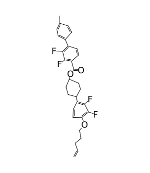 C=CCCCOc1ccc(C2CCC(OC(=O)c3ccc(-c4ccc(C)cc4)c(F)c3F)CC2)c(F)c1F